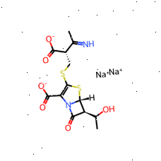 CC(=N)[C@H](CSC1=C(C(=O)[O-])N2C(=O)[C@H](C(C)O)[C@H]2S1)C(=O)[O-].[Na+].[Na+]